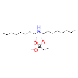 CCCCCCCCNCCCCCCCC.CC[Si](OC)(OC)OC